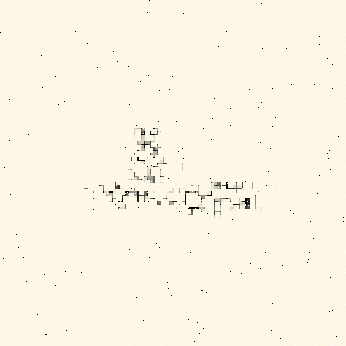 CC1(C)[C@H](NC(=O)C(=NOCCOc2ccc(C(=N)NC(CN)CN)cc2)c2csc(N)n2)C(=O)N1OS(=O)(=O)O